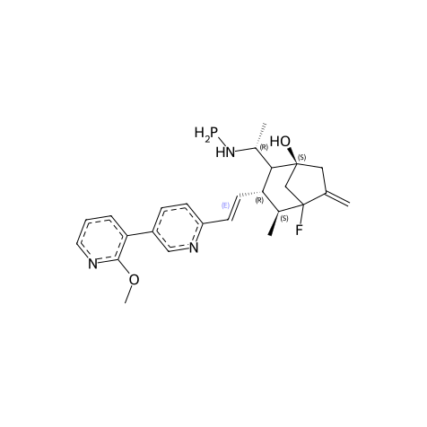 C=C1C[C@]2(O)CC1(F)[C@@H](C)[C@H](/C=C/c1ccc(-c3cccnc3OC)cn1)C2[C@@H](C)NP